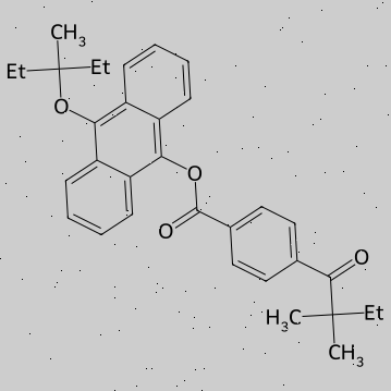 CCC(C)(CC)Oc1c2ccccc2c(OC(=O)c2ccc(C(=O)C(C)(C)CC)cc2)c2ccccc12